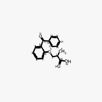 CC(COc1ccccc1C(=O)c1ccccc1)C(=O)O